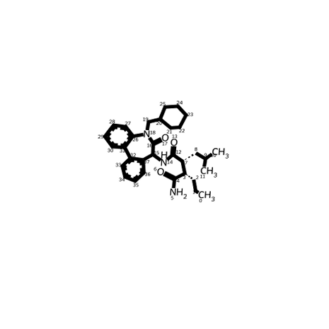 CCC[C@H](C(N)=O)[C@@H](CC(C)C)C(=O)NC1C(=O)N(CC2CCCCC2)c2ccccc2-c2ccccc21